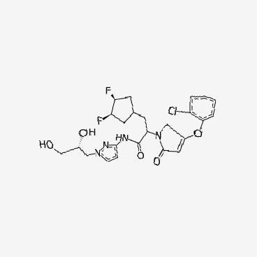 O=C(Nc1ccn(C[C@@H](O)CO)n1)C(CC1C[C@@H](F)[C@@H](F)C1)N1CC(Oc2ccccc2Cl)=CC1=O